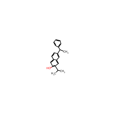 CC(C)c1cc2cc(C(C)c3ccccc3)ccc2cc1O